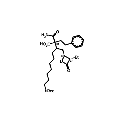 CCCCCCCCCCCCCCCCCC(C[C@@H]1OC(=O)[C@H]1CC)[C@@](CCc1ccccc1)(C(N)=O)C(=O)O